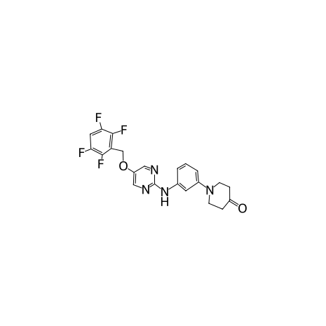 O=C1CCN(c2cccc(Nc3ncc(OCc4c(F)c(F)cc(F)c4F)cn3)c2)CC1